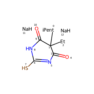 CCCC(C)C1(CC)C(=O)N=C(S)NC1=O.[NaH].[NaH]